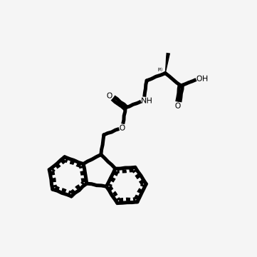 C[C@H](CNC(=O)OCC1c2ccccc2-c2ccccc21)C(=O)O